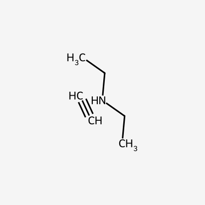 C#C.CCNCC